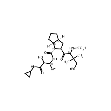 CCC[C@H](NC(=O)[C@@H]1[C@H]2CCC[C@H]2CN1C(=O)[C@@H](NC(=O)O)C(C)(C)CC(C)(C)C)C(O)C(=O)NC1CC1